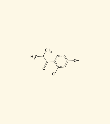 CC(C)C(=O)c1ccc(O)cc1Cl